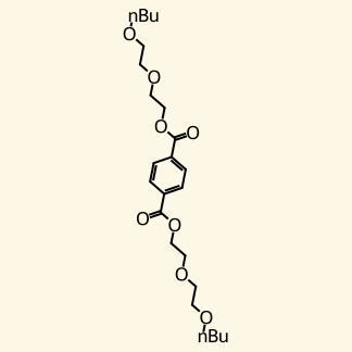 CCCCOCCOCCOC(=O)c1ccc(C(=O)OCCOCCOCCCC)cc1